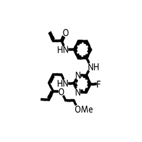 C=CC(=O)Nc1cccc(Nc2nc(NC/C=C\C(=C/C)OCCOC)ncc2F)c1